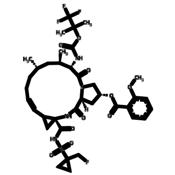 COc1ccccc1C(=O)O[C@@H]1C[C@H]2C(=O)N[C@]3(C(=O)NS(=O)(=O)C4(CF)CC4)CC3/C=C\CC[C@H](C)C[C@@H](C)[C@H](NC(=O)OC(C)(C)C(F)(F)F)C(=O)N2C1